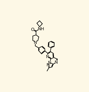 Cc1cc2ncc3cc(-c4ccccc4)c(-c4ccc(CN5CCC(C(=O)NC6CCC6)CC5)cc4)nc3n2n1